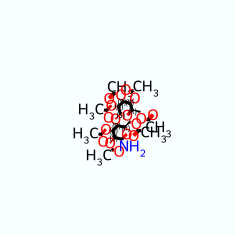 CC(=O)OC[C@H]1O[C@@H](O[C@H]2[C@H](OC(C)=O)[C@H](OC(C)=O)C(N)O[C@@H]2COC(C)=O)[C@@H](OC(C)=O)[C@@H](OC(C)=O)[C@@H]1OC(C)=O